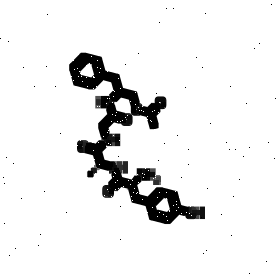 CC(=O)OCC(Cc1ccccc1)NC(=O)CNC(=O)[C@@H](C)NC(=O)[C@@H](N)Cc1ccc(O)cc1